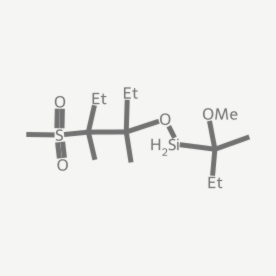 CCC(C)(OC)[SiH2]OC(C)(CC)C(C)(CC)S(C)(=O)=O